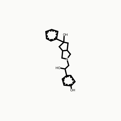 Oc1ccc(C(O)CN2CC3CC(O)(c4ccccc4)CC3C2)cc1